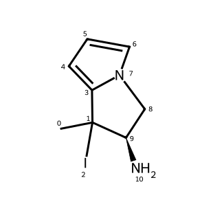 CC1(I)c2cccn2C[C@H]1N